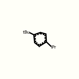 CC(C)c1[c]cc(C(C)(C)C)cc1